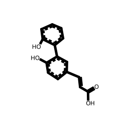 O=C(O)C=Cc1ccc(O)c(-c2ccccc2O)c1